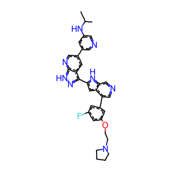 CC(C)Nc1cncc(-c2cnc3[nH]nc(-c4cc5c(-c6cc(F)cc(OCCN7CCCC7)c6)cncc5[nH]4)c3c2)c1